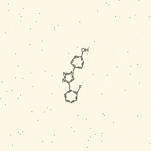 Oc1ccc(-n2cc(-c3ccccc3F)nn2)cc1